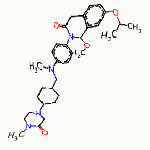 COC1c2cc(OC(C)C)ccc2CC(=O)N1c1ccc(N(C)CC2CCC(N3CCN(C)C(=O)C3)CC2)cc1